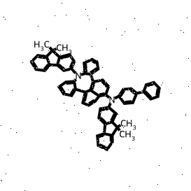 CC1(C)c2ccccc2-c2cc(N3c4ccccc4-c4cccc5c(N(c6ccc(-c7ccccc7)cc6)c6ccc7c(c6)C(C)(C)c6ccccc6-7)ccc(c45)-c4ccccc43)ccc21